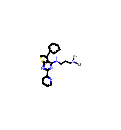 CCN(CC)CCCNc1nc(-c2ccccn2)nc2scc(-c3ccccc3)c12